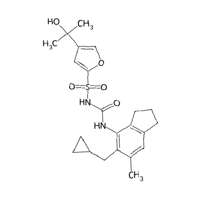 Cc1cc2c(c(NC(=O)NS(=O)(=O)c3cc(C(C)(C)O)co3)c1CC1CC1)CCC2